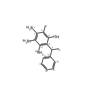 Bc1c(B)c(C)c(S)c(C(C)c2ccccc2)c1B